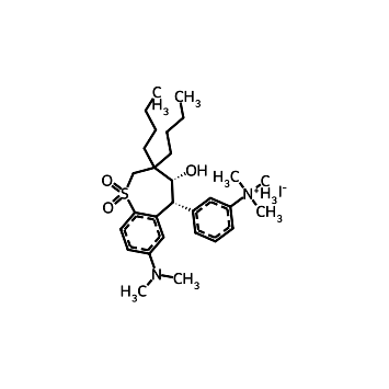 CCCCC1(CCCC)CS(=O)(=O)c2ccc(N(C)C)cc2[C@@H](c2cccc([N+](C)(C)C)c2)[C@H]1O.[I-]